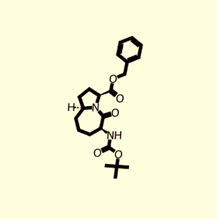 CC(C)(C)OC(=O)N[C@H]1CCC[C@H]2CC[C@@H](C(=O)OCc3ccccc3)N2C1=O